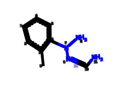 Cc1ccccc1N(N)/N=C\N